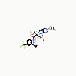 CN1Cc2cn(C(C)(C)C(=O)Nc3ccc(C(F)(F)F)cc3C3CC3)nc2C1